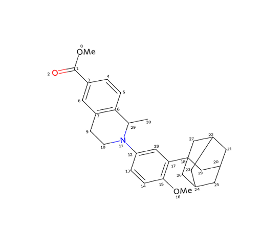 COC(=O)c1ccc2c(c1)CCN(c1ccc(OC)c(C34CC5CC(CC(C5)C3)C4)c1)C2C